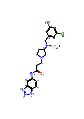 O=C(CCN1CCC(N(Cc2cc(Cl)cc(Cl)c2)C(=O)O)C1)Nc1ccc2[nH]nnc2c1